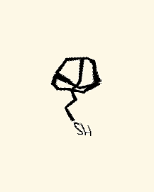 SCCC12CC3CC(CC(C3)C1)C2